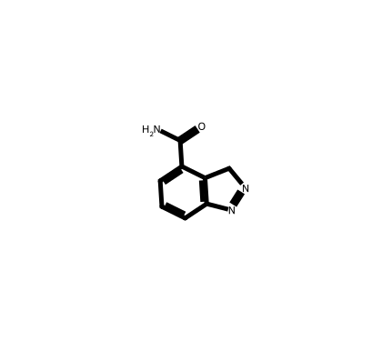 NC(=O)c1cccc2c1CN=N2